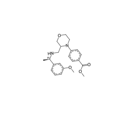 COC(=O)c1ccc(N2CCOCC2CN[C@H](C)c2cccc(OC)c2)cc1